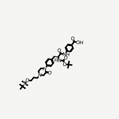 CC(C)(C)OC(=O)N[C@@H](Cc1ccc(N2CCN(CCCO[Si](C)(C)C(C)(C)C)CC2=O)cc1)C(=O)Nc1ccc(C(=O)O)cc1